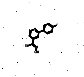 CCC(=NO)c1ccnc(-c2ccc(F)cc2)c1